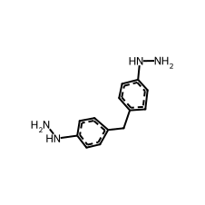 NNc1ccc(Cc2ccc(NN)cc2)cc1